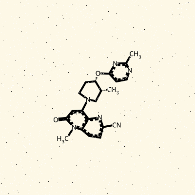 Cc1nccc(O[C@H]2CCN(c3cc(=O)n(C)c4ccc(C#N)nc34)C[C@H]2C)n1